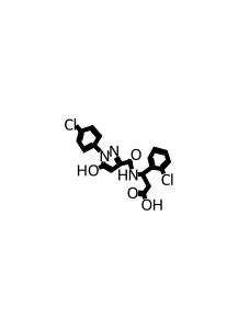 O=C(O)CC(NC(=O)c1cc(O)n(-c2ccc(Cl)cc2)n1)c1ccccc1Cl